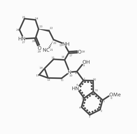 COc1cccc2[nH]c(C(O)N3CC4CC4CC3C(=O)N[C@H](C#N)C[C@@H]3CCCNC3=O)cc12